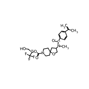 C=C(C)c1ccc([S+]([O-])N(C)C2COC3(CCN(C(=O)O[C@H](CO)C(F)(F)F)CC3)C2)cc1